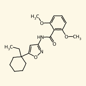 CCC1(c2cc(NC(=O)c3c(OC)cccc3OC)no2)CCCCC1